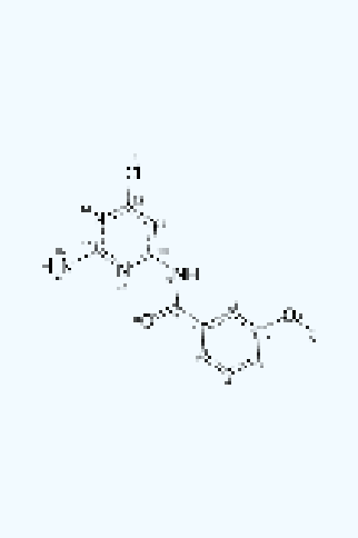 COc1cccc(C(=O)Nc2cc(Cl)nc(N)n2)c1